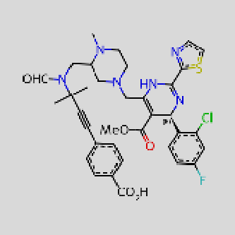 COC(=O)C1=C(CN2CCN(C)C(CN(C=O)C(C)(C)C#Cc3ccc(C(=O)O)cc3)C2)NC(c2nccs2)=N[C@H]1c1ccc(F)cc1Cl